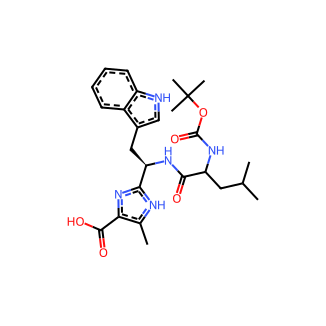 Cc1[nH]c([C@@H](Cc2c[nH]c3ccccc23)NC(=O)C(CC(C)C)NC(=O)OC(C)(C)C)nc1C(=O)O